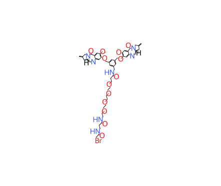 C=C1C[C@H]2C=Nc3cc(OCc4cc(CNC(=O)CCOCCOCCOCCOCCNC(=O)CCNC(=O)CBr)cc(COc5cc6c(cc5OC)C(=O)N5CC(=C)C[C@H]5C=N6)c4)c(OC)cc3C(=O)N2C1